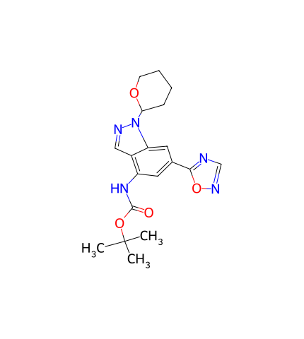 CC(C)(C)OC(=O)Nc1cc(-c2ncno2)cc2c1cnn2C1CCCCO1